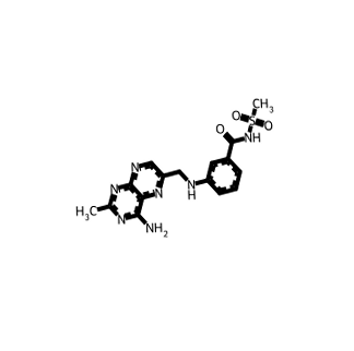 Cc1nc(N)c2nc(CNc3cccc(C(=O)NS(C)(=O)=O)c3)cnc2n1